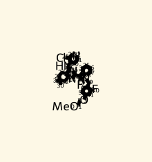 COCCOc1cc(F)c(Cn2nc(-c3nc4c(c(Nc5ccncc5Cl)n3)CCC(C)(C)C4)c3ccccc32)c(F)c1